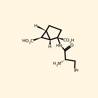 CC(C)C[C@H](N)C(=O)N[C@@]1(C(=O)O)CC[C@H]2[C@H](C(=O)O)[C@H]21